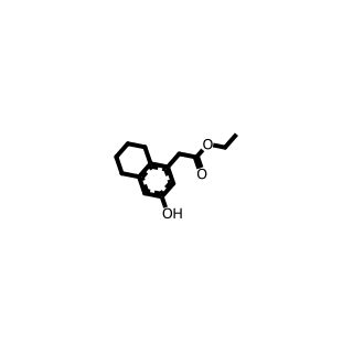 CCOC(=O)Cc1cc(O)cc2c1CCCC2